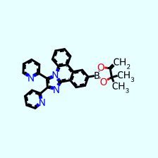 C=C1OB(c2ccc3c(c2)c2ccccc2n2c(-c4ccccn4)c(-c4ccccn4)nc32)OC1(C)C